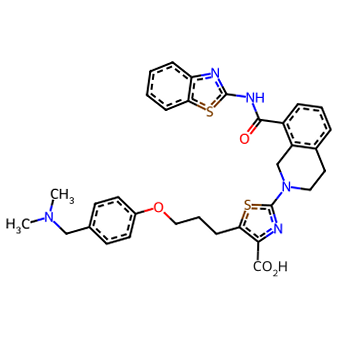 CN(C)Cc1ccc(OCCCc2sc(N3CCc4cccc(C(=O)Nc5nc6ccccc6s5)c4C3)nc2C(=O)O)cc1